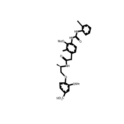 COc1cc(C(=O)O)ccc1OC[C@@H](C)NC(=O)Cc1ccc(NC(=O)Nc2ccccc2C)c(OC)c1C